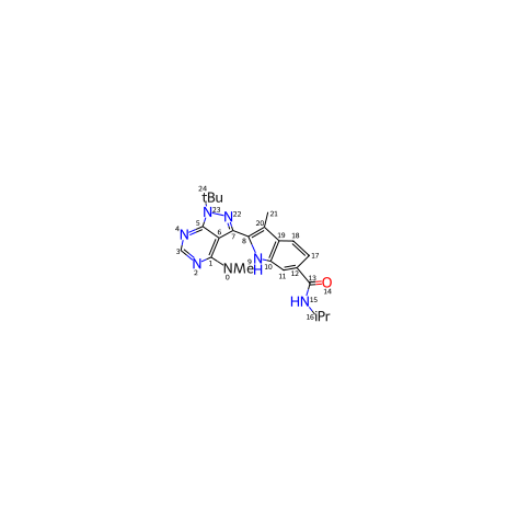 CNc1ncnc2c1c(-c1[nH]c3cc(C(=O)NC(C)C)ccc3c1C)nn2C(C)(C)C